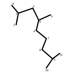 C[C](C)CC(C)CCCC(C)C